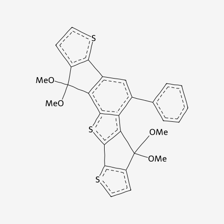 COC1(OC)c2ccsc2-c2cc(-c3ccccc3)c3c4c(sc3c21)-c1sccc1C4(OC)OC